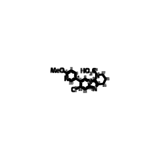 COc1ccc(-c2cn3c4c(nc3cc2Cl)CCCN4C(=O)O)cn1